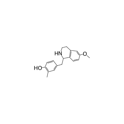 COc1ccc2c(c1)CCNC2Cc1ccc(O)c(C)c1